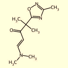 Cc1noc(C(C)(C)C(=O)/C=C/N(C)C)n1